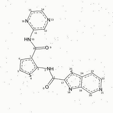 O=C(Nc1sccc1C(=O)Nc1cnccn1)c1nc2cnccc2s1